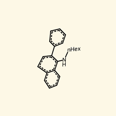 CCCCCCNc1c(-c2ccccc2)ccc2ccccc12